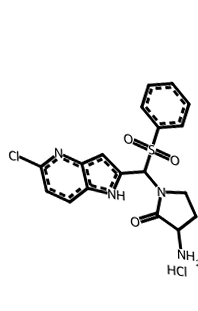 Cl.NC1CCN(C(c2cc3nc(Cl)ccc3[nH]2)S(=O)(=O)c2ccccc2)C1=O